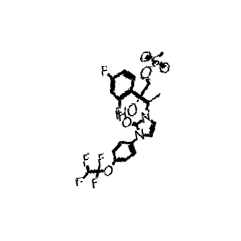 C[C@@H](n1ccn(-c2ccc(OC(F)(F)C(F)F)cc2)c1=O)[C@](O)(COS(C)(=O)=O)c1ccc(F)cc1F